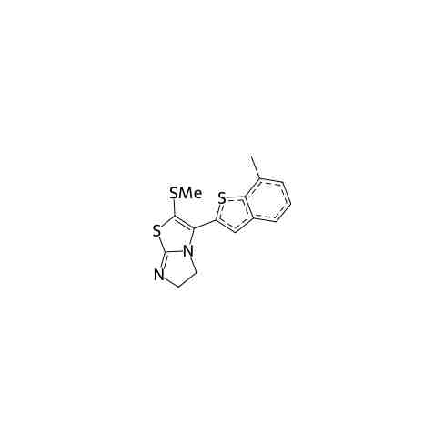 CSC1=C(c2cc3cccc(C)c3s2)N2CCN=C2S1